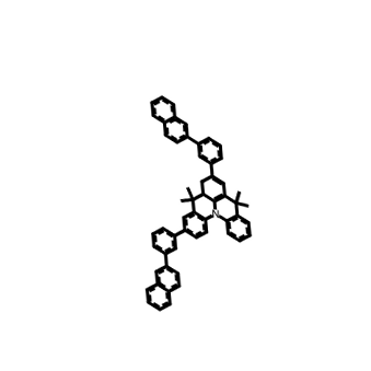 CC1(C)C2=C3C(CC(c4cccc(-c5ccc6ccccc6c5)c4)=C2)C(C)(C)c2cc(-c4cccc(-c5ccc6ccccc6c5)c4)ccc2N3c2ccccc21